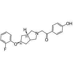 O=C(CN1CC2C[C@@H](Oc3ccccc3F)C[C@@H]2C1)c1ccc(O)cc1